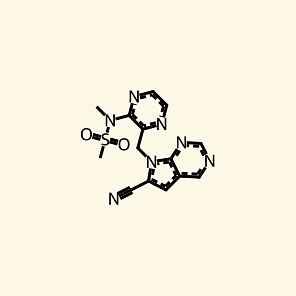 CN(c1nccnc1Cn1c(C#N)cc2cncnc21)S(C)(=O)=O